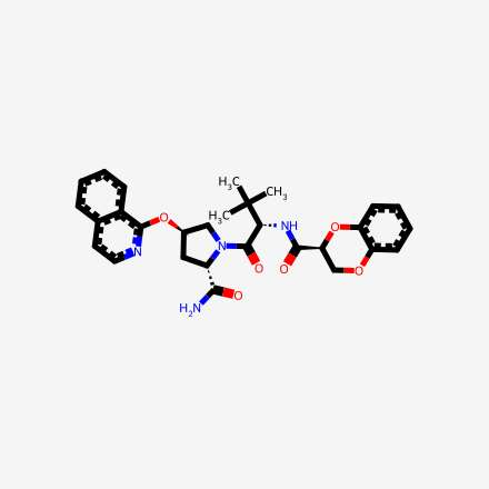 CC(C)(C)[C@H](NC(=O)[C@@H]1COc2ccccc2O1)C(=O)N1C[C@H](Oc2nccc3ccccc23)C[C@H]1C(N)=O